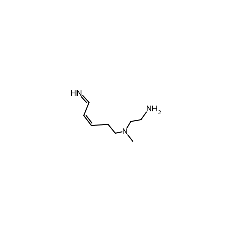 CN(CCN)CC/C=C\C=N